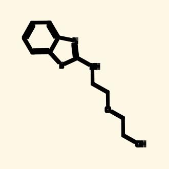 OCCOCCNc1nc2ccccc2s1